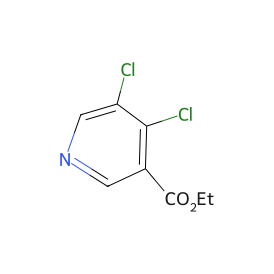 CCOC(=O)c1cncc(Cl)c1Cl